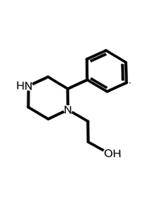 OCCN1CCNCC1c1c[c]ccc1